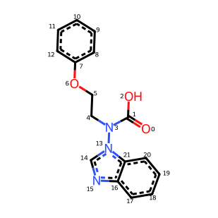 O=C(O)N(CCOc1ccccc1)n1cnc2ccccc21